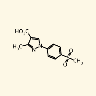 Cc1nn(-c2ccc(S(C)(=O)=O)cc2)cc1C(=O)O